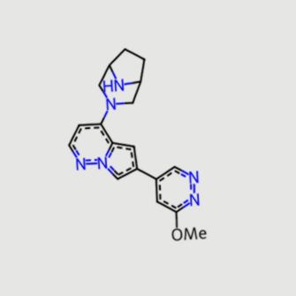 COc1cc(-c2cc3c(N4CC5CCC(C4)N5)ccnn3c2)cnn1